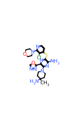 CC1(N)CCN(c2nc(N)c(Sc3ccnc(N4CCOCC4)c3Cl)nc2-c2nnco2)CC1